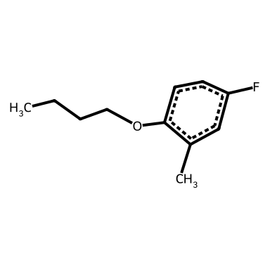 CCCCOc1ccc(F)cc1C